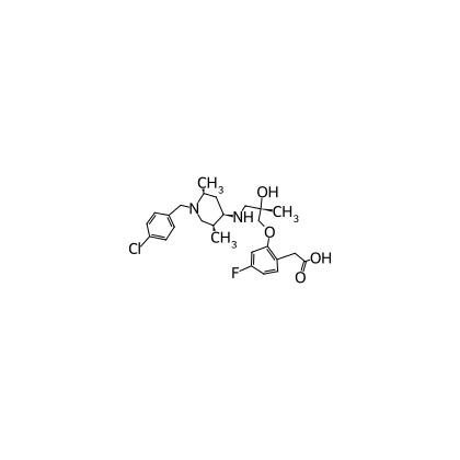 C[C@H]1CN(Cc2ccc(Cl)cc2)[C@@H](C)C[C@H]1NC[C@](C)(O)COc1cc(F)ccc1CC(=O)O